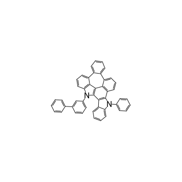 c1ccc(-c2cccc(-n3c4cccc5c4c4c6c(cccc6c6c(c7ccccc7n6-c6ccccc6)c43)-c3ccccc3-5)c2)cc1